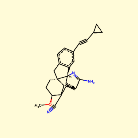 CO[C@H]1CC[C@]2(CC1)Cc1ccc(C#CC3CC3)cc1[C@]21N=C(N)c2ccc(C#N)cc21